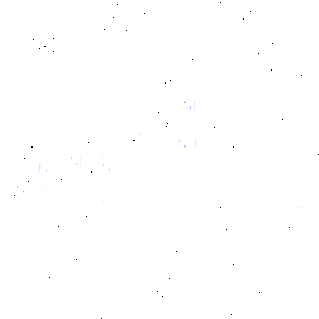 CCCCCCCCCC(N)(N)C(=O)c1ccc(CNC(=O)[C@@H](N)Cc2c[nH]cn2)cc1